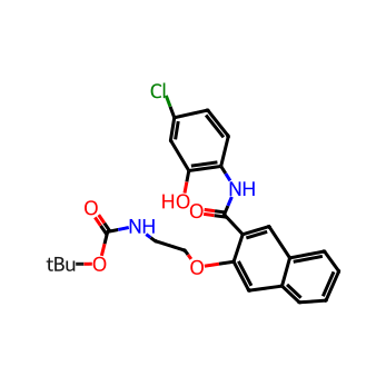 CC(C)(C)OC(=O)NCCOc1cc2ccccc2cc1C(=O)Nc1ccc(Cl)cc1O